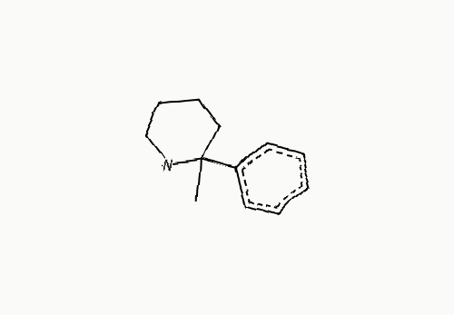 CC1(c2ccccc2)CCCC[N]1